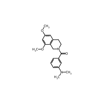 COc1cc2c(c(OC)c1)CN(C(=O)c1cccc(N(C)C)c1)CC2